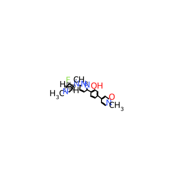 CN1C[C@H]2C[C@@H]1[C@@H](F)[C@@H]2N(C)c1ccc(-c2ccc(-c3ccn(C)c(=O)c3)cc2O)nn1